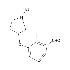 CCN1CCC(Oc2cccc(C=O)c2F)C1